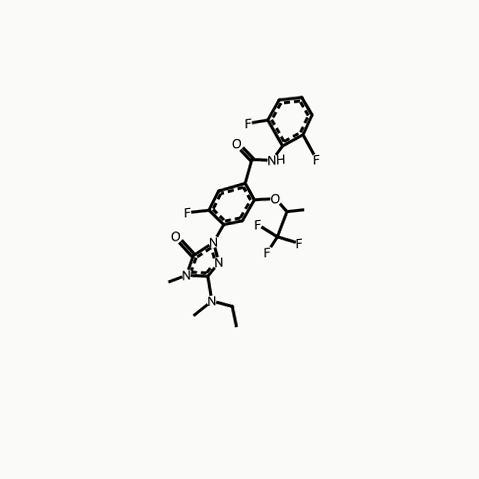 CCN(C)c1nn(-c2cc(OC(C)C(F)(F)F)c(C(=O)Nc3c(F)cccc3F)cc2F)c(=O)n1C